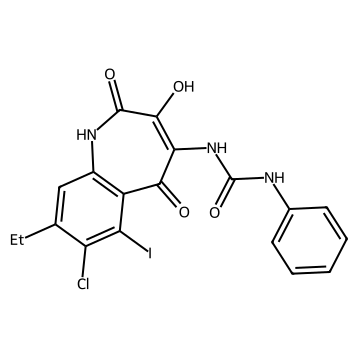 CCc1cc2[nH]c(=O)c(O)c(NC(=O)Nc3ccccc3)c(=O)c2c(I)c1Cl